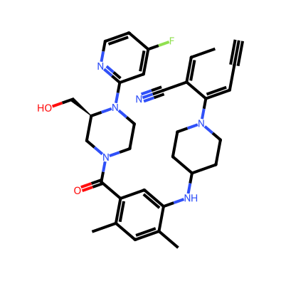 C#C/C=C(\C(C#N)=C/C)N1CCC(Nc2cc(C(=O)N3CCN(c4cc(F)ccn4)[C@H](CO)C3)c(C)cc2C)CC1